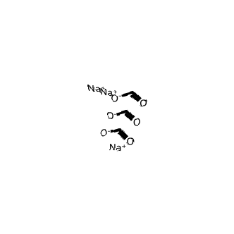 O=C[O-].O=C[O-].O=C[O-].[Na+].[Na+].[Na+]